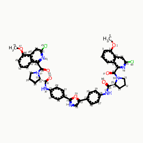 COc1cccc2c(C(=O)N3CCC[C@H]3C(=O)Nc3ccc(-c4cnc(-c5ccc(NC(=O)[C@@H]6CCCN6C(=O)c6nc(Cl)cc7c(OC)cccc67)cc5)o4)cc3)nc(Cl)cc12